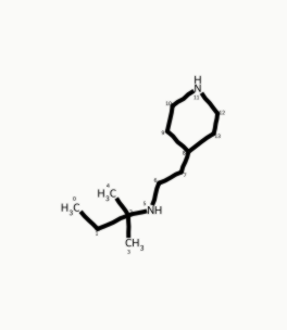 CCC(C)(C)NCCC1CCNCC1